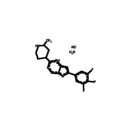 CC1CC(c2ncc3nc(-c4cc(F)c(F)c(F)c4)cc-3[nH]2)CCN1.Cl.O